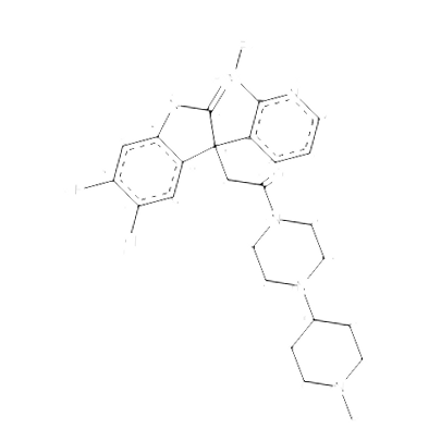 CCOc1ncccc1C1(CC(=O)N2CCN(C3CCN(C)CC3)CC2)C(=O)Nc2cc(F)c(Cl)cc21